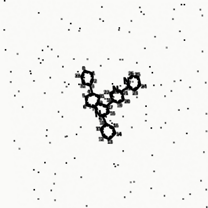 c1ccc(-c2ccc3nc(-c4ccccc4)cc(-c4ccc(-c5ccccn5)nc4)c3c2)cc1